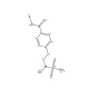 CCN(CCc1ccc(C(=O)OF)cc1)S(C)(=O)=O